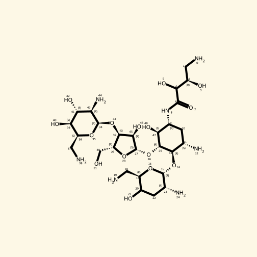 NC[C@@H](O)C(O)C(=O)N[C@@H]1C[C@H](N)[C@@H](O[C@H]2O[C@H](CN)C(O)C[C@H]2N)[C@H](O[C@@H]2O[C@H](CO)[C@@H](O[C@H]3O[C@@H](CN)[C@@H](O)[C@H](O)[C@H]3N)[C@H]2O)[C@H]1O